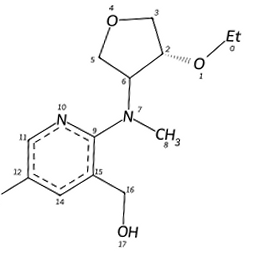 CCO[C@H]1COCC1N(C)c1ncc(C(F)(F)F)cc1CO